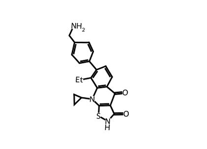 CCc1c(-c2ccc(CN)cc2)ccc2c(=O)c3c(=O)[nH]sc3n(C3CC3)c12